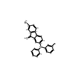 Cc1cccc(N(c2ccccc2)c2ccc3c(c2)C(=O)c2cc(Br)ccc2-3)c1